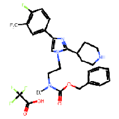 CCN(CCn1cc(-c2ccc(F)c(C(F)(F)F)c2)nc1C1CCNCC1)C(=O)OCc1ccccc1.O=C(O)C(F)(F)F